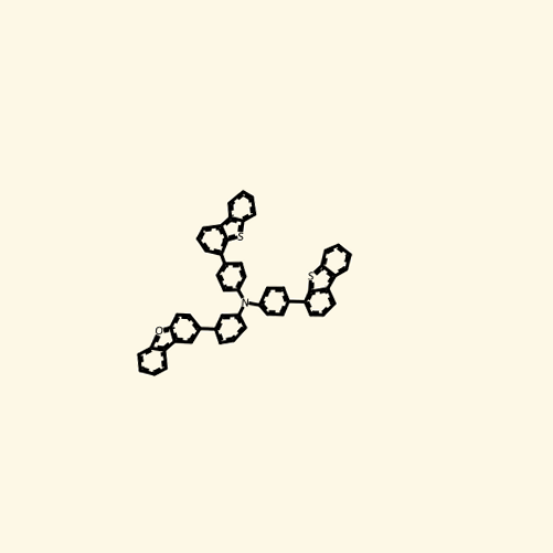 c1cc(-c2ccc3oc4ccccc4c3c2)cc(N(c2ccc(-c3cccc4c3sc3ccccc34)cc2)c2ccc(-c3cccc4c3sc3ccccc34)cc2)c1